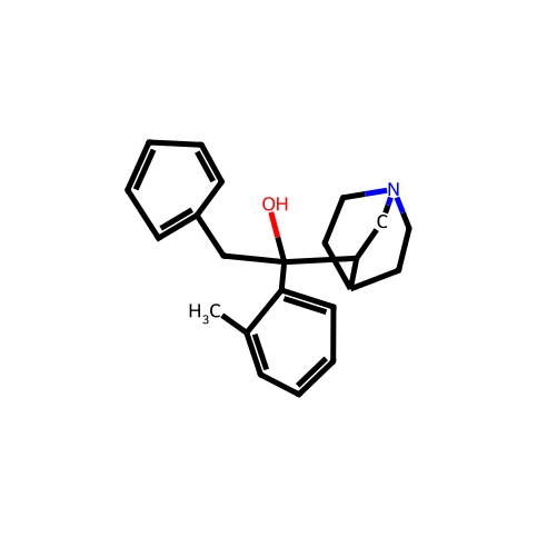 Cc1ccccc1C(O)(Cc1ccccc1)C1CN2CCC1CC2